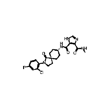 CNC(=O)c1nc[nH]c1C(=O)N[C@H]1CC[C@]2(CCN(c3ccc(F)cc3Cl)C2=O)CC1